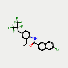 CCc1cc(CC(F)(C(F)(F)F)C(F)(F)F)ccc1NC(=O)c1ccc2cc(Br)ccc2c1